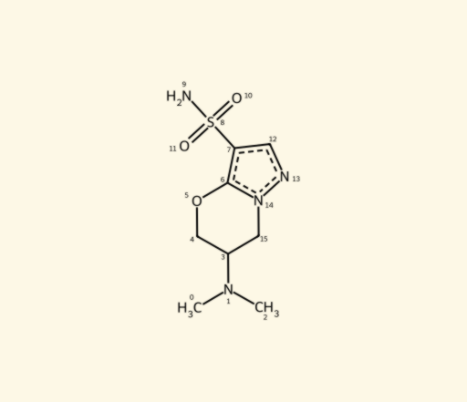 CN(C)C1COc2c(S(N)(=O)=O)cnn2C1